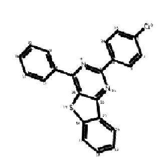 Clc1ccc(-c2nc(-c3ccccc3)c3sc4ccccc4c3n2)cc1